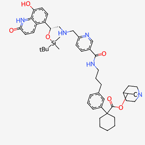 CC(C)(C)[Si](C)(C)O[C@@H](CNCc1ccc(C(=O)NCCCc2cccc(C3(C(=O)OC4CN5CCC4CC5)CCCCC3)c2)cn1)c1ccc(O)c2[nH]c(=O)ccc12